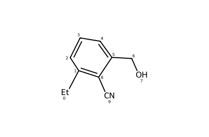 CCc1cccc(CO)c1C#N